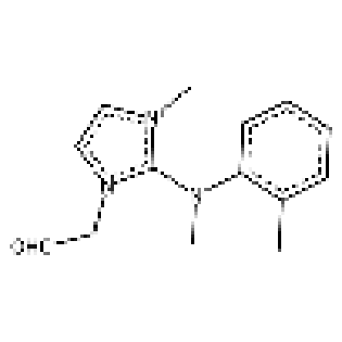 Cc1ccccc1N(C)c1n(CC=O)cc[n+]1C